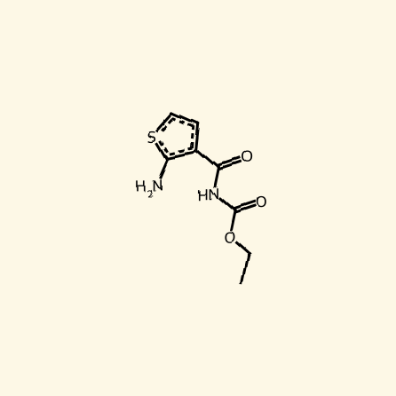 CCOC(=O)NC(=O)c1ccsc1N